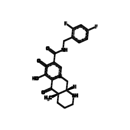 C[C@]12CCCN[C@H]1Cn1cc(C(=O)NCc3ccc(F)cc3F)c(=O)c(O)c1C2=O